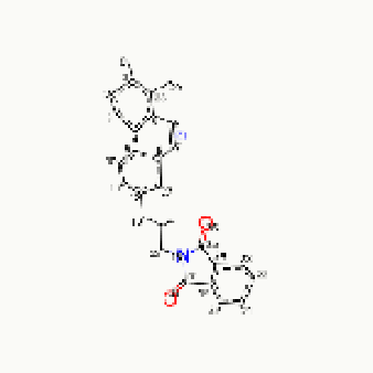 Cc1cccc(/C=C\c2cccc(CCCN3C(=O)c4ccccc4C3=O)c2)c1C